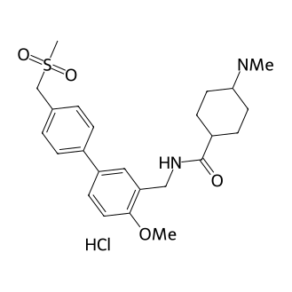 CNC1CCC(C(=O)NCc2cc(-c3ccc(CS(C)(=O)=O)cc3)ccc2OC)CC1.Cl